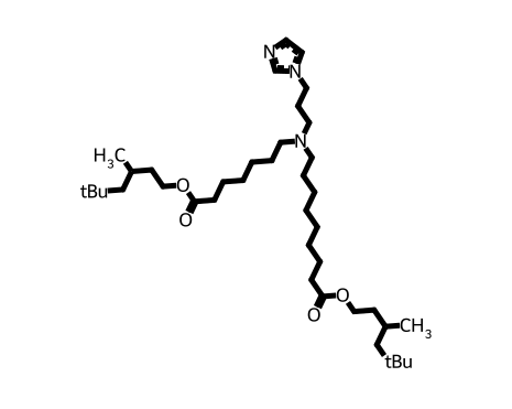 CC(CCOC(=O)CCCCCCCCN(CCCCCCC(=O)OCCC(C)CC(C)(C)C)CCCn1ccnc1)CC(C)(C)C